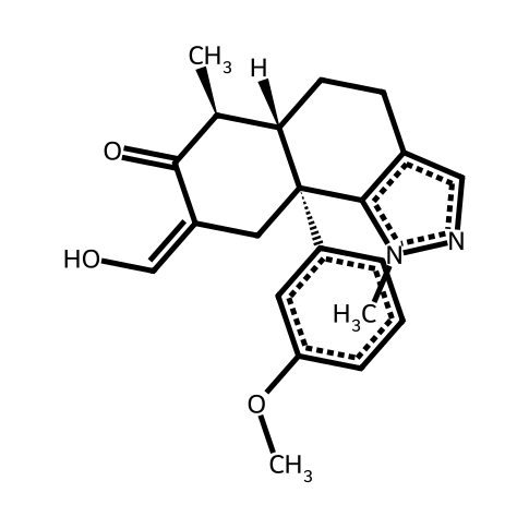 COc1cccc([C@]23C/C(=C/O)C(=O)[C@@H](C)[C@@H]2CCc2cnn(C)c23)c1